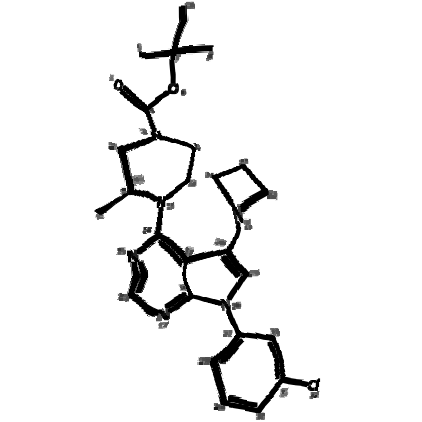 C[C@H]1CN(C(=O)OC(C)(C)C)CCN1c1ncnc2c1c(N1CCC1)cn2-c1cccc(Cl)c1